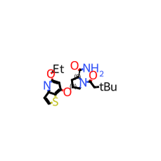 CCOc1cc(O[C@@H]2C[C@@H](C(N)=O)N(C(=O)CC(C)(C)C)C2)c2sccc2n1